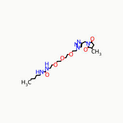 CCCCCNC(=O)NCCOCCOCCOCCn1cc(CN2C(=O)CC(C)C2=O)nn1